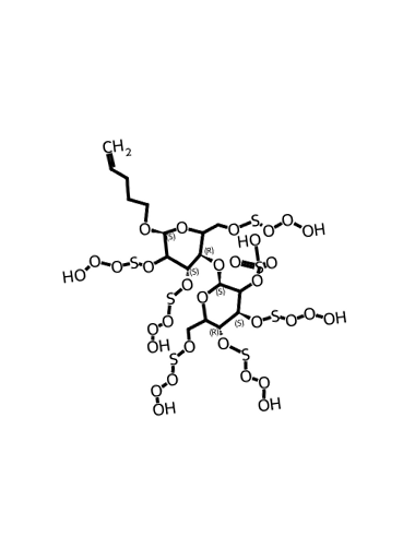 C=CCCCO[C@H]1OC(COSOOO)[C@@H](O[C@@H]2OC(COSOOO)[C@@H](OSOOO)[C@H](OSOOO)C2OS(=O)(=O)O)[C@H](OSOOO)C1OSOOO